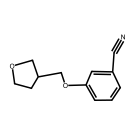 N#Cc1cccc(OCC2CCOC2)c1